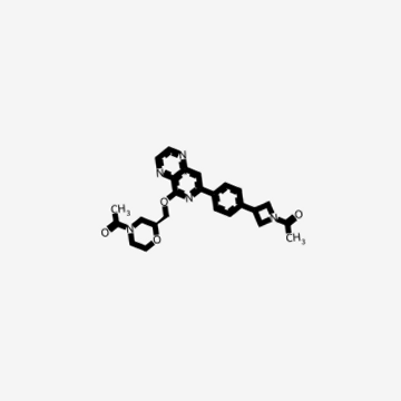 CC(=O)N1CC(c2ccc(-c3cc4nccnc4c(OC[C@@H]4CN(C(C)=O)CCO4)n3)cc2)C1